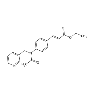 CCOC(=O)/C=C/c1ccc(N(Cc2cccnc2)C(C)=O)cc1